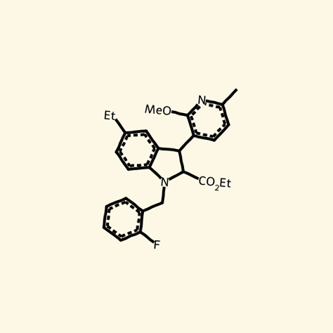 CCOC(=O)C1C(c2ccc(C)nc2OC)c2cc(CC)ccc2N1Cc1ccccc1F